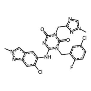 Cn1cnc(Cn2c(=O)nc(Nc3cc4cn(C)nc4cc3Cl)n(Cc3cc(Cl)ccc3F)c2=O)n1